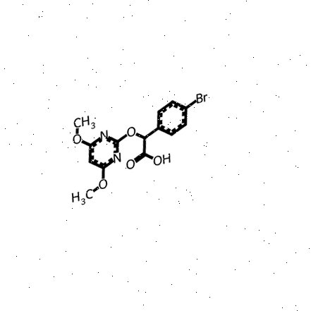 COc1cc(OC)nc(OC(C(=O)O)c2ccc(Br)cc2)n1